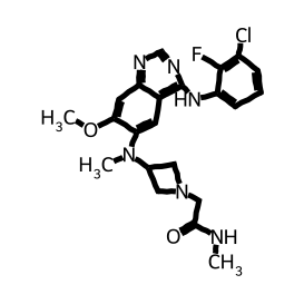 CNC(=O)CN1CC(N(C)c2cc3c(Nc4cccc(Cl)c4F)ncnc3cc2OC)C1